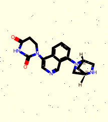 O=C1CCN(c2cncc3c(N4C[C@@H]5C[C@H]4CN5)cccc23)C(=O)N1